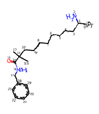 CC(C)C(N)CCCCCCCCC(C)(C)C(=O)NCc1ccccc1